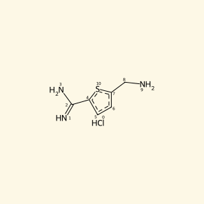 Cl.N=C(N)c1ccc(CN)s1